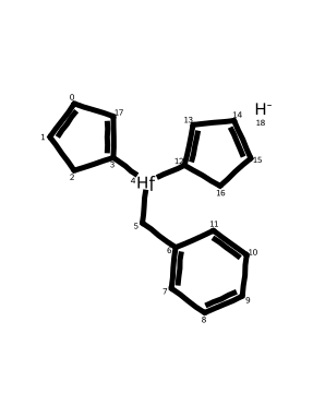 C1=CC[C]([Hf]([CH2]c2ccccc2)[C]2=CC=CC2)=C1.[H-]